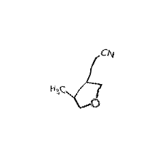 CC1COCC1CC#N